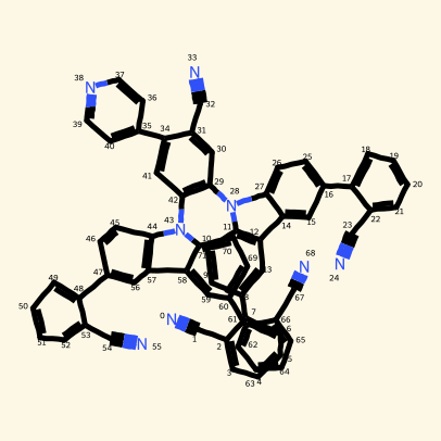 N#Cc1ccccc1-c1ccc2c(c1)c1cc(-c3ccccc3C#N)ccc1n2-c1cc(C#N)c(-c2ccncc2)cc1-n1c2ccc(-c3ccccc3C#N)cc2c2cc(-c3ccccc3C#N)ccc21